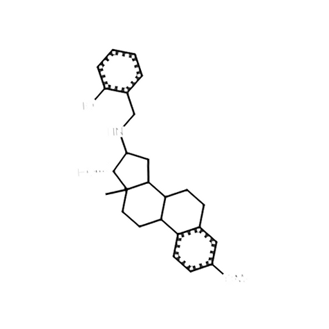 COc1ccc2c(c1)CCC1C2CCC2(C)C1CC(NCc1ccccc1O)[C@H]2O